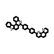 c1cnc2c(c1)ccc1ccc(-c3ccc(-c4ccc(-c5nc6ccccc6c6c5ccc5sc7ccccc7c56)cc4)cc3)nc12